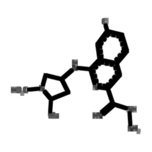 CC(C)(C)C1CC(Nc2nc(C(=N)NN)cc3ccc(Cl)cc23)CN1C(=O)O